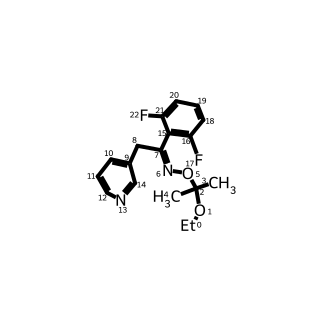 CCOC(C)(C)ON=C(Cc1cccnc1)c1c(F)cccc1F